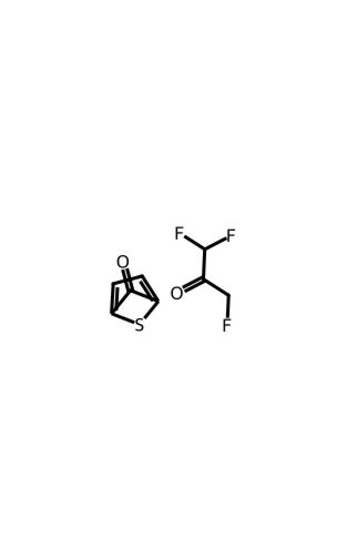 O=C(CF)C(F)F.O=C1c2ccc1s2